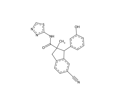 CC1(C(=O)Nc2nncs2)Cc2ccc(C#N)cc2C1c1cccc(O)c1